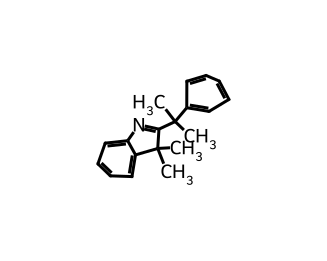 CC(C)(C1=Nc2ccccc2C1(C)C)c1ccccc1